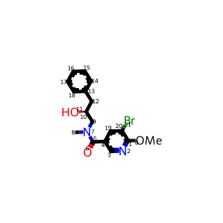 COc1ncc(C(=O)N(C)C[C@@H](O)Cc2ccccc2)cc1Br